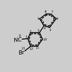 N#Cc1cc(-c2ccccc2)ccc1Br